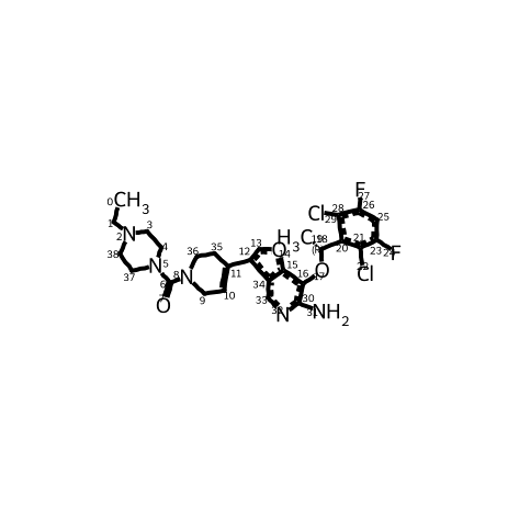 CCN1CCN(C(=O)N2CC=C(c3coc4c(O[C@H](C)c5c(Cl)c(F)cc(F)c5Cl)c(N)ncc34)CC2)CC1